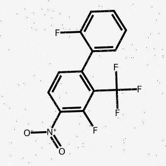 O=[N+]([O-])c1ccc(-c2ccccc2F)c(C(F)(F)F)c1F